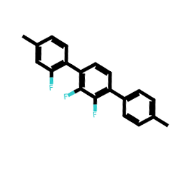 Cc1ccc(-c2ccc(-c3ccc(C)cc3F)c(F)c2F)cc1